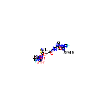 COCCN1C[C@@H](NC(=O)Nc2c(C)c(-c3cnc(N4CCN(C(=O)CCCCCOc5cc(-c6scnc6C)ccc5CNC(=O)[C@@H]5C[C@@H](O)CN5C(=O)[C@@H](NC(=O)C5(F)CC5)C(C)(C)C)CC4)nc3)nn2-c2ccccc2)[C@H](c2cccc(F)c2)C1